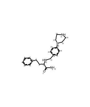 NC(=O)C(CCc1ccccc1)NCc1ccc(N2CCNCC2)cc1